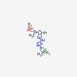 CC(C)c1ccc(N2C[C@H](CS(C)(=O)=O)[C@H]2C)c2cnc(Nc3ccnc(N4CCC(C)(C)[C@H](F)C4)n3)cc12